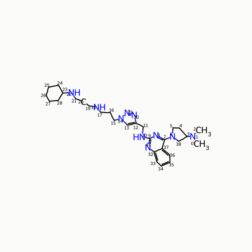 CN(C)C1CCN(c2nc(NCc3cn(CCCNCCCNC4CCCCC4)nn3)nc3ccccc23)C1